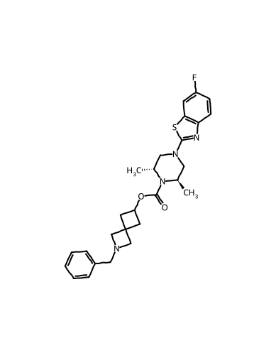 C[C@@H]1CN(c2nc3ccc(F)cc3s2)C[C@@H](C)N1C(=O)OC1CC2(C1)CN(Cc1ccccc1)C2